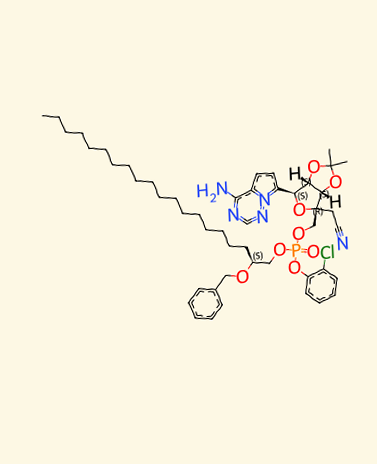 CCCCCCCCCCCCCCCCCC[C@@H](COP(=O)(OC[C@@]1(CC#N)O[C@@H](c2ccc3c(N)ncnn23)[C@@H]2OC(C)(C)O[C@@H]21)Oc1ccccc1Cl)OCc1ccccc1